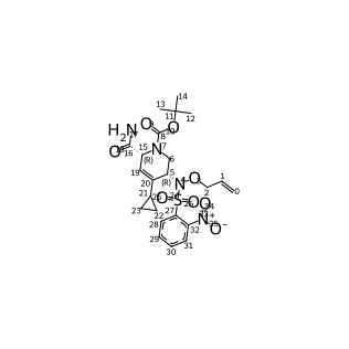 C=CCON([C@H]1CN(C(=O)OC(C)(C)C)[C@@H](C(N)=O)C=C1C1CC1)S(=O)(=O)c1ccccc1[N+](=O)[O-]